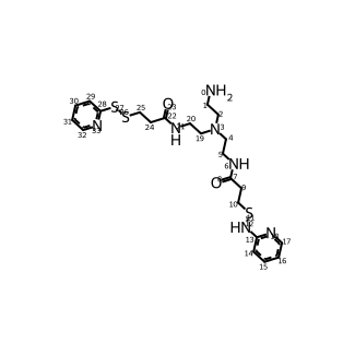 NCCN(CCNC(=O)CCSNc1ccccn1)CCNC(=O)CCSSc1ccccn1